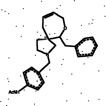 CC(=O)Nc1ccc(CN2CC[C@@]3(CC=CCOC3Cc3ccccc3)C2)cc1